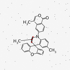 Cc1ccc2c(c1)C1(c3ccccc3Oc3ccccc31)c1cc(C)ccc1N2c1ccc2c(=O)occ(C)c2c1